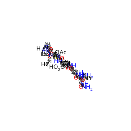 C#CCCCON(C(=O)[C@@H](NC(=O)[C@H]1CCCCN1C)[C@@H](C)CC)[C@H](C[C@@H](OC(C)=O)c1nc(C(=O)N[C@@H](Cc2ccc(NC(=O)OCc3ccc(NC(=O)[C@H](CCCNC(N)=O)NC(=O)[C@@H](N)C(C)C)cc3)cc2)CC(C)(C)C(=O)O)cs1)C(C)C